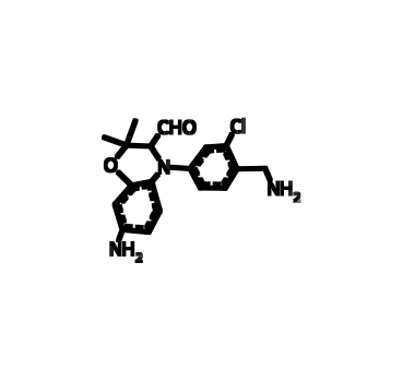 CC1(C)Oc2cc(N)ccc2N(c2ccc(CN)c(Cl)c2)C1C=O